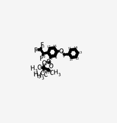 CC1(C)OB(c2cc(OCc3ccccc3)ccc2C(F)C(F)F)OC1(C)C